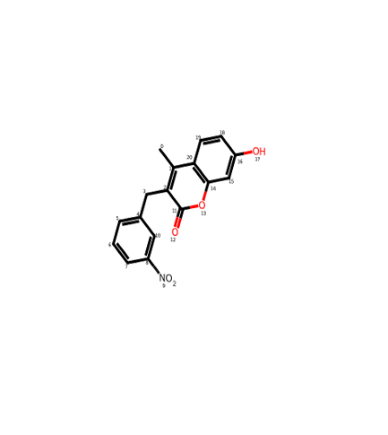 Cc1c(Cc2cccc([N+](=O)[O-])c2)c(=O)oc2cc(O)ccc12